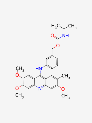 COc1cc2nc3cc(OC)c(OC)cc3c(Nc3cccc(COC(=O)NC(C)C)c3)c2cc1C